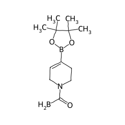 BC(=O)N1CC=C(B2OC(C)(C)C(C)(C)O2)CC1